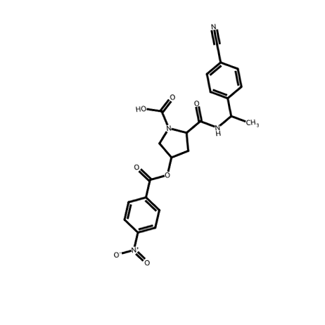 CC(NC(=O)C1CC(OC(=O)c2ccc([N+](=O)[O-])cc2)CN1C(=O)O)c1ccc(C#N)cc1